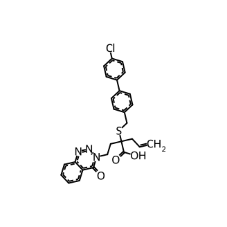 C=CCC(CCn1nnc2ccccc2c1=O)(SCc1ccc(-c2ccc(Cl)cc2)cc1)C(=O)O